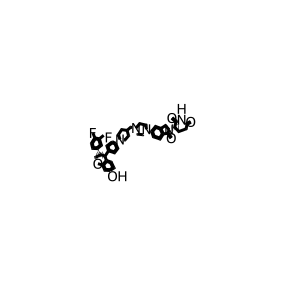 Cc1cc([C@H]2COc3cc(O)ccc3C2c2ccc(N3CCC(CN4CCN(c5ccc6c(c5)CN([C@H]5CCC(=O)NC5=O)C6=O)CC4)CC3)c(F)c2)ccc1F